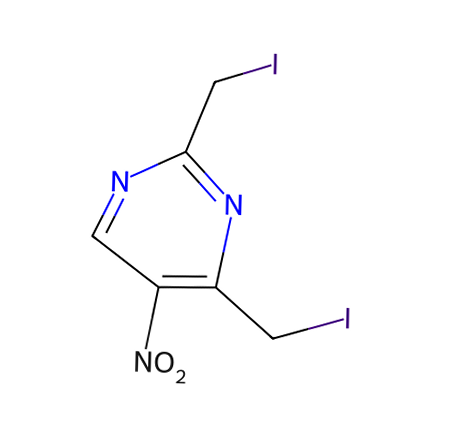 O=[N+]([O-])c1cnc(CI)nc1CI